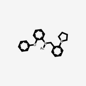 CC(=O)N(Cc1ccccc1N1CCCC1)c1ccccc1Oc1ccccc1